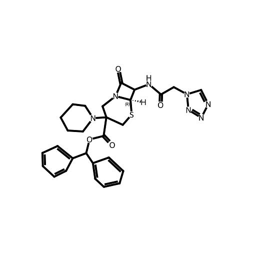 O=C(Cn1cnnn1)NC1C(=O)N2CC(C(=O)OC(c3ccccc3)c3ccccc3)(N3CCCCC3)CS[C@H]12